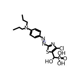 CCCN(CCC)c1ccc(/N=N/c2nc(Cl)c(C(O)P(=O)(O)O)s2)cc1